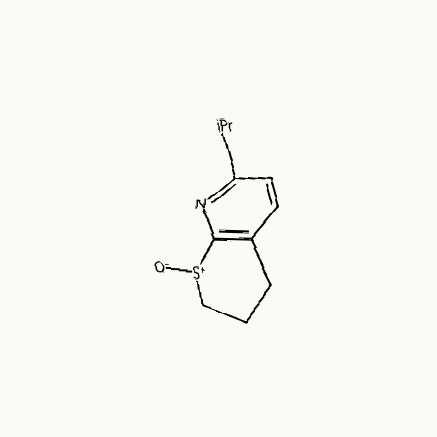 CC(C)c1ccc2c(n1)[S+]([O-])CCC2